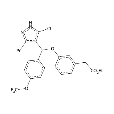 CCOC(=O)Cc1cccc(OC(c2ccc(OC(F)(F)F)cc2)c2c(C(C)C)n[nH]c2Cl)c1